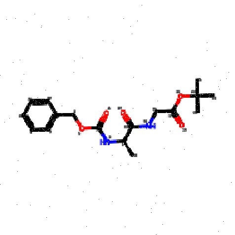 C[C@@H](NC(=O)OCc1ccccc1)C(=O)NCC(=O)OC(C)(C)C